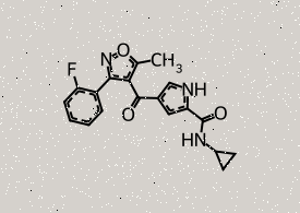 Cc1onc(-c2ccccc2F)c1C(=O)c1c[nH]c(C(=O)NC2CC2)c1